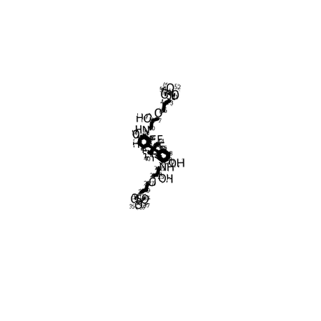 CO[Si](CCCOCC(O)CNc1cc(C(c2ccc(O)c(NCC(O)COCCC[Si](OC)(OC)OC)c2)(C(F)(F)F)C(F)(F)F)ccc1O)(OC)OC